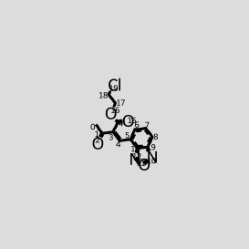 CC(=O)C(=Cc1cccc2nonc12)C(=O)OCCCl